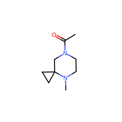 CC(=O)N1CCN(C)C2(CC2)C1